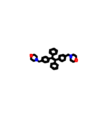 c1ccc(/C(=C(/c2ccccc2)c2ccc(CN3CCOCC3)cc2)c2ccc(CN3CCOCC3)cc2)cc1